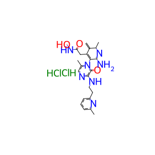 C=C1C(CC(=O)NO)=C(n2c(C)cnc(NCCc3cccc(C)n3)c2=O)C(N)=NC1C.Cl.Cl